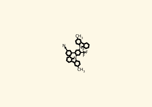 Cc1ccc2c(c1)c1ccccc1n2-c1cc(C(F)(F)F)c(-n2c3ccccc3c3cc(C)ccc32)cc1-c1cccc(C#N)c1